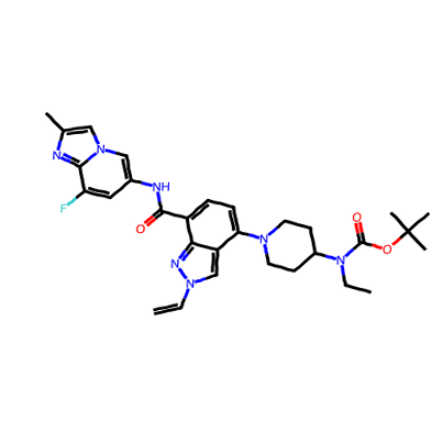 C=Cn1cc2c(N3CCC(N(CC)C(=O)OC(C)(C)C)CC3)ccc(C(=O)Nc3cc(F)c4nc(C)cn4c3)c2n1